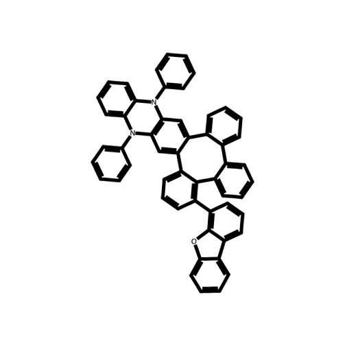 c1ccc(-n2c3ccccc3n(-c3ccccc3)c3cc4c(cc32)c2ccccc2c2ccccc2c2c(-c3cccc5c3oc3ccccc35)cccc42)cc1